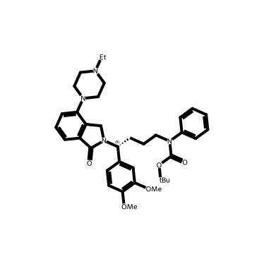 CCN1CCN(c2cccc3c2CN([C@H](CCCN(C(=O)OC(C)(C)C)c2ccccc2)c2ccc(OC)c(OC)c2)C3=O)CC1